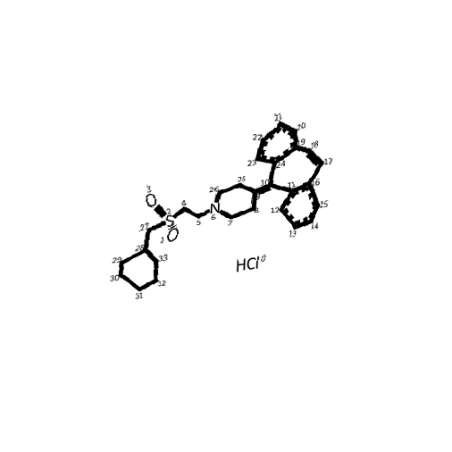 Cl.O=S(=O)(CCN1CCC(=C2c3ccccc3C=Cc3ccccc32)CC1)CC1CCCCC1